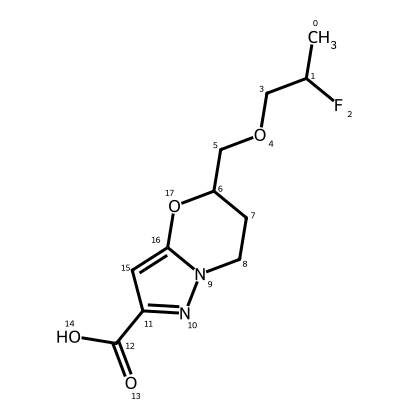 CC(F)COCC1CCn2nc(C(=O)O)cc2O1